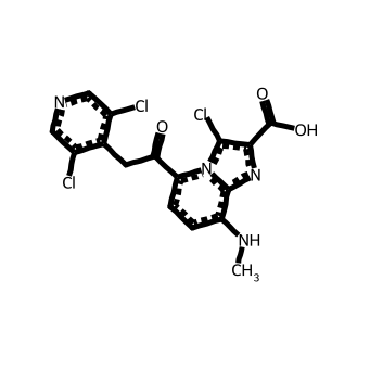 CNc1ccc(C(=O)Cc2c(Cl)cncc2Cl)n2c(Cl)c(C(=O)O)nc12